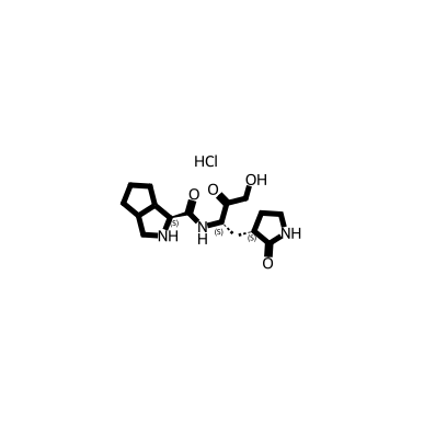 Cl.O=C1NCC[C@H]1C[C@H](NC(=O)[C@H]1NCC2CCCC21)C(=O)CO